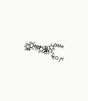 COc1ccc2c(c1)C(CCC(=O)O)CN2S(=O)(=O)c1ccc(CNc2ccc3cccnc3c2)cc1